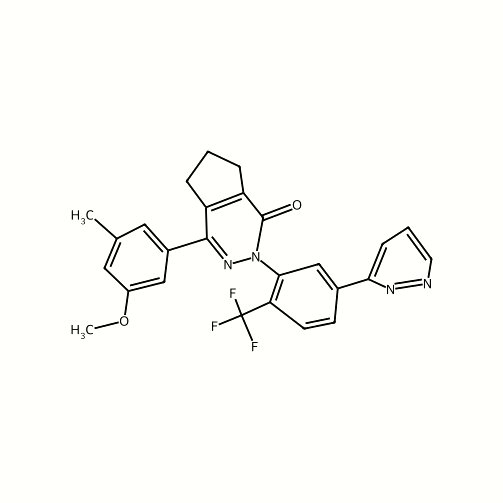 COc1cc(C)cc(-c2nn(-c3cc(-c4cccnn4)ccc3C(F)(F)F)c(=O)c3c2CCC3)c1